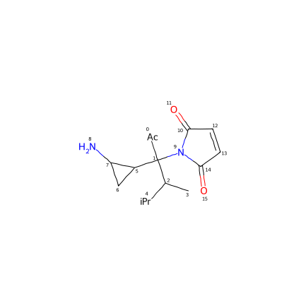 CC(=O)C(C(C)C(C)C)(C1CC1N)N1C(=O)C=CC1=O